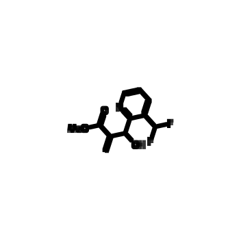 C=C(C(=O)OC)C(O)c1ncccc1C(F)F